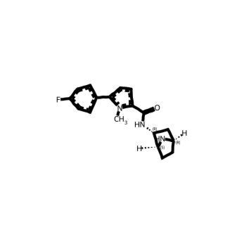 Cn1c(C(=O)N[C@@H]2C[C@H]3CC[C@@H]2N3)ccc1-c1ccc(F)cc1